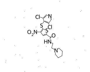 O=C(NCCN1CCCCC1)c1cc([N+](=O)[O-])c(Sc2c(Cl)cncc2Cl)s1